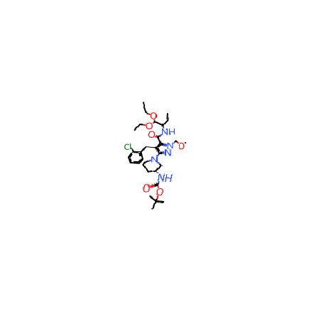 CCOC(OCC)C(CC)NC(=O)c1c(Cc2ccccc2Cl)c(N2CCC[C@@H](NC(=O)OC(C)(C)C)C2)nn1COC